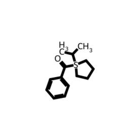 CC(C)S1(C(=O)c2ccccc2)CCCC1